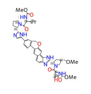 COC[C@H]1C[C@@H](c2nc3ccc4cc5c(cc4c3[nH]2)OCc2cc(-c3cnc([C@@H]4CC[C@H](C)N4C(=O)[C@@H](NC(=O)OC)C(C)C)[nH]3)ccc2-5)N(C(=O)[C@@H](NC(O)OC)C(C)C)C1